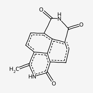 C=c1[nH]c(=O)c2ccc3c4c(ccc1c42)C(=O)NC3=O